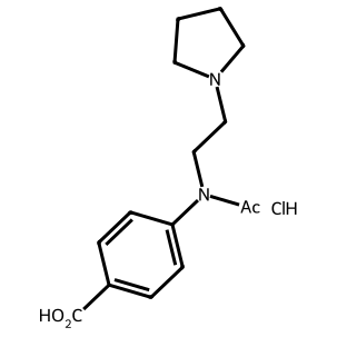 CC(=O)N(CCN1CCCC1)c1ccc(C(=O)O)cc1.Cl